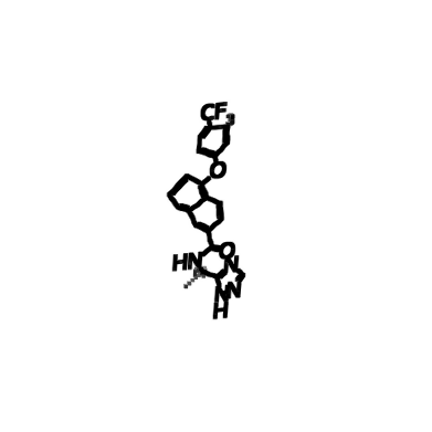 C[C@H](NC(=O)c1ccc2c(Oc3ccc(C(F)(F)F)cc3)cccc2c1)c1ncn[nH]1